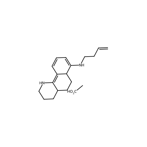 C=CCCNC1=CC=CC2=C3NCCCC3CCC12.CC(=O)O